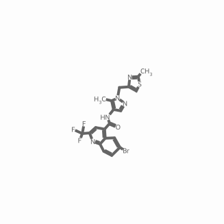 Cc1nc(Cn2ncc(NC(=O)c3cc(C(F)(F)F)nc4ccc(Br)cc34)c2C)cs1